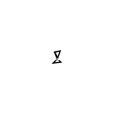 [I][Ir]12([CH2][CH2]1)[CH2][CH2]2